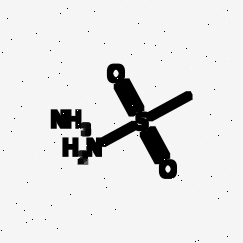 CS(N)(=O)=O.N